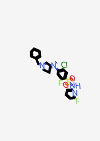 CN(c1cc(F)c(S(=O)(=O)Nc2cccc(F)n2)cc1Cl)C1CCN(Cc2ccccc2)C1